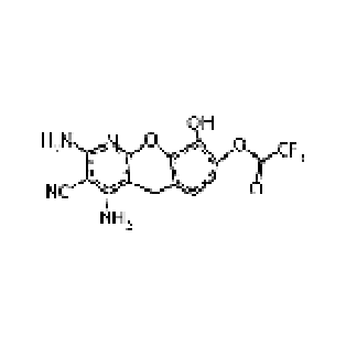 N#Cc1c(N)nc2c(c1N)Cc1ccc(OC(=O)C(F)(F)F)c(O)c1O2